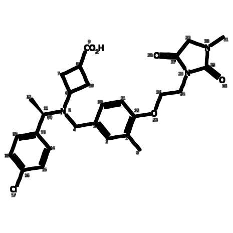 Cc1cc(CN(C2CC(C(=O)O)C2)[C@H](C)c2ccc(Cl)cc2)ccc1OCCN1C(=O)CN(C)C1=O